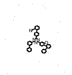 N#Cc1ccccc1-c1ccc(-c2nc(-c3cccc(-c4ccccc4)c3)nc(-c3ccc4c(c3)oc3cccc(-c5ccccc5)c34)n2)cc1